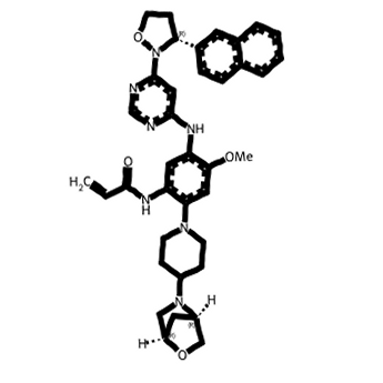 C=CC(=O)Nc1cc(Nc2cc(N3OCC[C@@H]3c3ccc4ccccc4c3)ncn2)c(OC)cc1N1CCC(N2C[C@H]3C[C@@H]2CO3)CC1